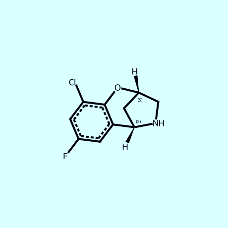 Fc1cc(Cl)c2c(c1)[C@@H]1C[C@@H](CN1)O2